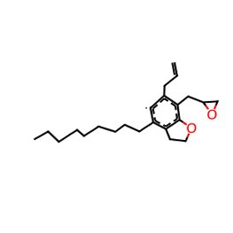 C=CCc1[c]c(CCCCCCCCC)c2c(c1CC1CO1)OCC2